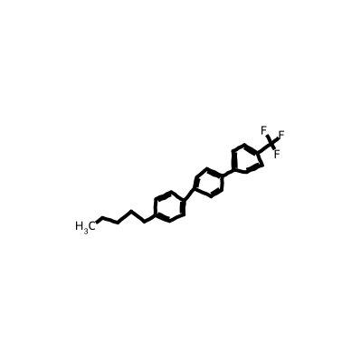 CCCCCc1ccc(-c2ccc(-c3ccc(C(F)(F)F)cc3)cc2)cc1